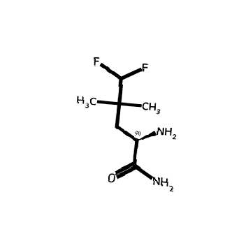 CC(C)(C[C@@H](N)C(N)=O)C(F)F